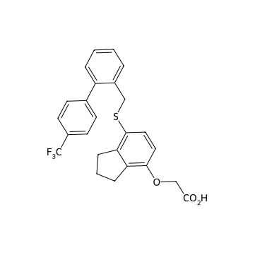 O=C(O)COc1ccc(SCc2ccccc2-c2ccc(C(F)(F)F)cc2)c2c1CCC2